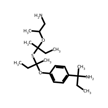 CCC(C)(Oc1ccc(C(C)(N)CC)cc1)SC(C)(CC)OC(C)CN